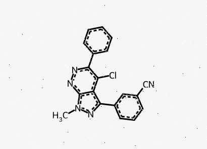 Cn1nc(-c2cccc(C#N)c2)c2c(Cl)c(-c3ccccc3)nnc21